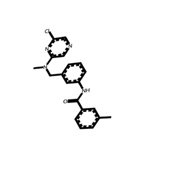 Cc1cccc(C(=O)Nc2cccc(CN(C)c3cncc(Cl)n3)c2)c1